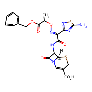 CC(ON=C(C(=O)NC1C(=O)N2C=C(C(=O)O)CS[C@H]12)c1nsc(N)n1)C(=O)OCc1ccccc1